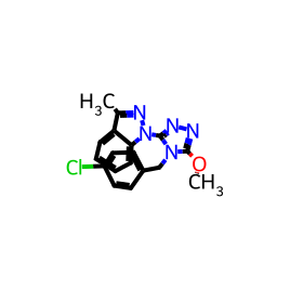 COc1nnc(-n2nc(C)c3ccccc32)n1Cc1ccc(Cl)cc1